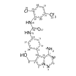 Nc1ncnn2cc(CO)c(-c3ccc(NC(=O)Nc4cc(C(F)(F)F)ccc4Cl)cc3)c12